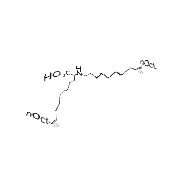 CCCCCCCC/C=C\CCCCCCCCNC(CCCCCC/C=C\CCCCCCCC)C(=O)O